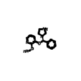 CCCOc1ncccc1OC(c1ccccc1)[C@H]1CCNC1